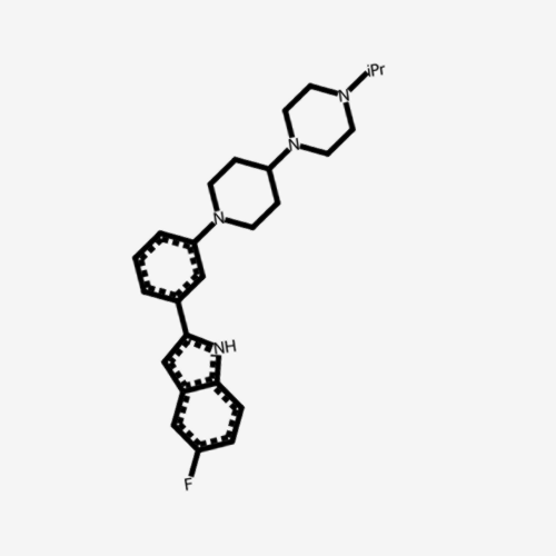 CC(C)N1CCN(C2CCN(c3cccc(-c4cc5cc(F)ccc5[nH]4)c3)CC2)CC1